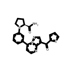 NC(=O)[C@@H]1CCCN1c1cccc(-c2ccnc3c(C(=O)c4cccs4)cnn23)c1